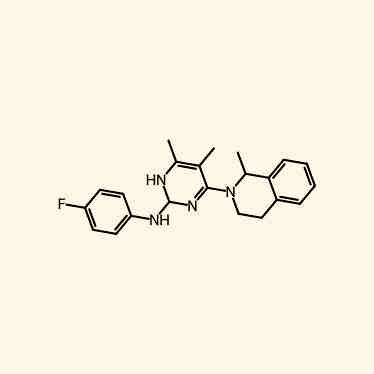 CC1=C(C)C(N2CCc3ccccc3C2C)=NC(Nc2ccc(F)cc2)N1